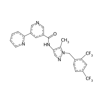 Cc1c(NC(=O)c2cncc(-c3ccccn3)c2)cnn1Cc1ccc(C(F)(F)F)cc1C(F)(F)F